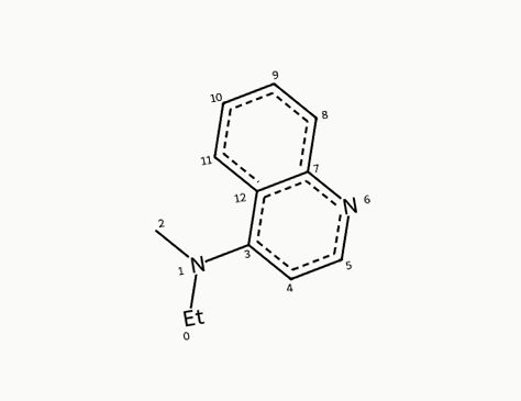 [CH2]CN(C)c1ccnc2ccccc12